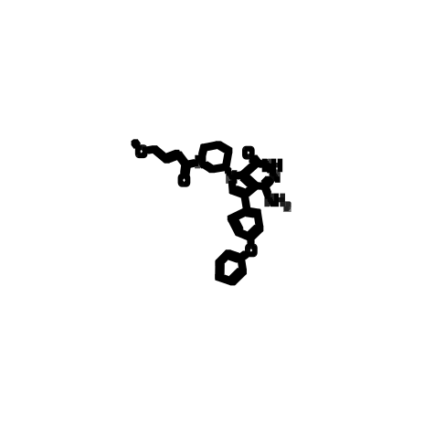 COCC=CC(=O)N1CCC[C@@H](n2cc(-c3ccc(Oc4ccccc4)cc3)c3c(N)n[nH]c(=O)c32)C1